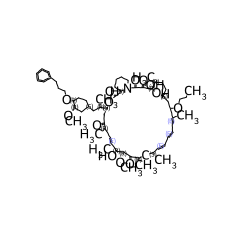 CCCOC1C[C@@H]2CC[C@@H](C)[C@@](O)(O2)C(=O)C(=O)N2CCCC[C@H]2C(=O)O[C@H]([C@H](C)C[C@@H]2CC[C@@H](OCCCc3ccccc3)[C@H](OC)C2)CC(=O)[C@H](C)/C=C(\C)[C@@H](O)[C@@H](OC)C(=O)[C@H](C)C[C@H](C)/C=C/C=C/C=C/1C